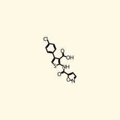 O=C(Nc1scc(-c2ccc(Cl)cc2)c1C(=O)O)c1ccno1